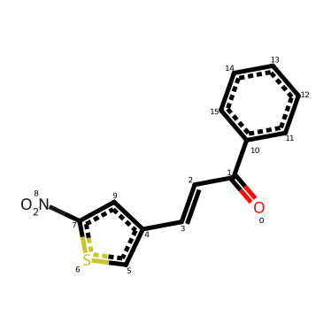 O=C(/C=C/c1csc([N+](=O)[O-])c1)c1ccccc1